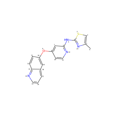 Cc1csc(Nc2cc(Oc3ccc4ncccc4c3)ccn2)n1